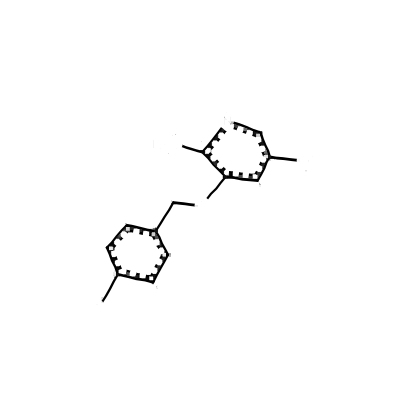 CC(C)c1ccc(COc2cc(C(=O)O)cnc2C(=O)O)cc1